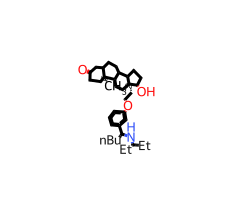 CCCCC(NC(CC)CC)c1cccc(OCC[C@]23CCC4C(CCC5CC(=O)CC[C@@]54C)C2CCC3O)c1